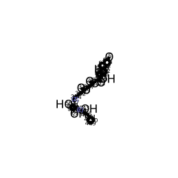 C[C@]12CCC(=O)C=C1CC[C@@H]1C2=CC[C@@]2(C)[C@H]1CC[C@]2(O)C(=O)COC(=O)CCOC(=O)CCC/C=C\C[C@@H]1[C@@H](/C=C/[C@@H](O)CCc2ccccc2)[C@H](O)C[C@@H]1O